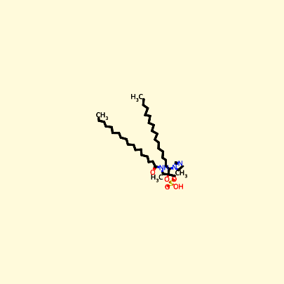 CCCCCCCCCCCCCCCCCC(=O)NC(C)C(CC)(OS(=O)(=O)O)C(CCCCCCCCCCCCCCCCC)N1C=NCC1